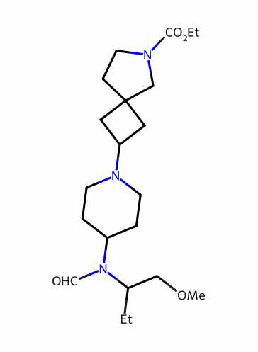 CCOC(=O)N1CCC2(CC(N3CCC(N(C=O)C(CC)COC)CC3)C2)C1